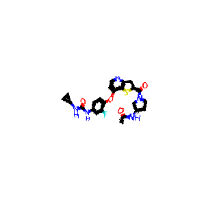 CC(=O)N[C@@H]1CCN(C(=O)C2Cc3nccc(Oc4ccc(NC(=O)NC5CC5)cc4F)c3S2)C1